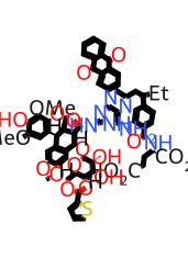 CCC(Cc1cnc2nc(=N)[nH]c(N)c2n1)c1ccc(C(=O)N[C@@H](CCC(=O)O)C(=O)O)cc1.COc1cc([C@@H]2c3cc4c(cc3[C@@H](O[C@@H]3O[C@@H]5COC(c6cccs6)O[C@H]5[C@H](O)[C@H]3O)[C@H]3COC(=O)[C@H]23)OCO4)cc(OC)c1O.O=C1c2ccccc2C(=O)c2ccccc21